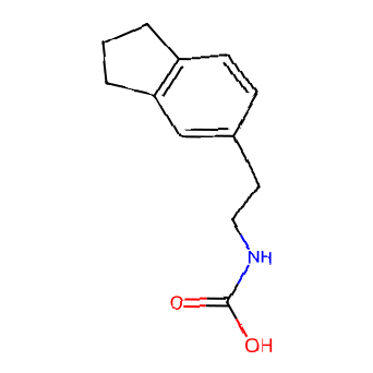 O=C(O)NCCc1ccc2c(c1)CCC2